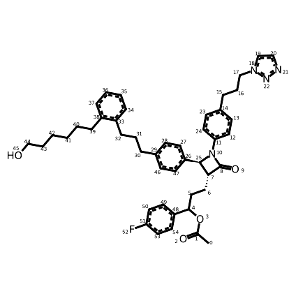 CC(=O)OC(CC[C@H]1C(=O)N(c2ccc(CCCn3ccnn3)cc2)[C@@H]1c1ccc(CCCc2ccccc2CCCCCCO)cc1)c1ccc(F)cc1